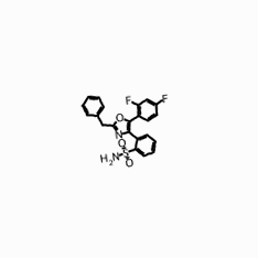 NS(=O)(=O)c1ccccc1-c1nc(Cc2ccccc2)oc1-c1ccc(F)cc1F